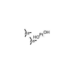 C[As](C)C.C[As](C)C.[OH][Pt][OH]